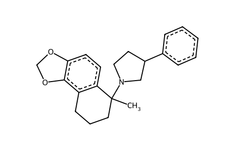 CC1(N2CCC(c3ccccc3)C2)CCCc2c1ccc1c2OCO1